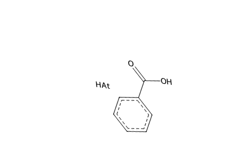 O=C(O)c1ccccc1.[AtH]